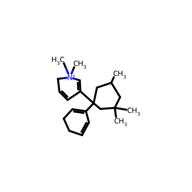 CC1CC(C)(C)CC(C2=CCCC=C2)(C2=C[N+](C)(C)CC=C2)C1